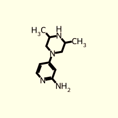 CC1CN(c2ccnc(N)c2)CC(C)N1